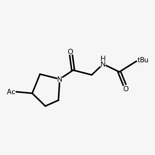 CC(=O)C1CCN(C(=O)CNC(=O)C(C)(C)C)C1